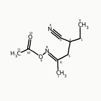 CCC(C#N)CC(C)=NOC(C)=O